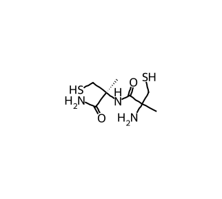 CC(N)(CS)C(=O)N[C@](C)(CS)C(N)=O